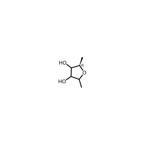 CC1O[C@H](C)C(O)C1O